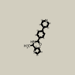 CC(NC(=O)c1ccc(-c2ccncc2)cc1)c1cccs1